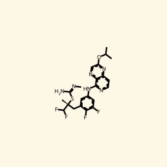 C/N=C(/N)S[C@](C)(Cc1cc(Nc2nccc3nc(OC(C)C)cnc23)cc(F)c1F)C(F)F